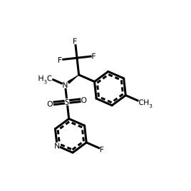 Cc1ccc([C@@H](N(C)S(=O)(=O)c2cncc(F)c2)C(F)(F)F)cc1